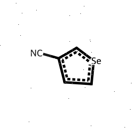 N#Cc1cc[se]c1